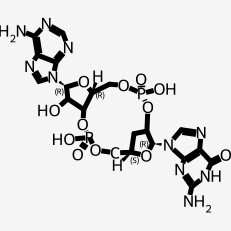 Nc1nc2c(ncn2[C@@H]2O[C@@H]3COP(=O)(O)OC4C(O)[C@H](n5cnc6c(N)ncnc65)O[C@@H]4COP(=O)(O)OC2C3)c(=O)[nH]1